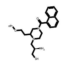 CCCOCCC1CN(C(=O)c2cccc3ccccc23)CCN1C[C@@H](N)CS